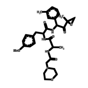 COc1ccc(CC(NC(=O)C(C)NC(=O)CN2CCOCC2)C(=O)NC(C(=O)C2(C)CO2)c2cccc(C)c2)cc1